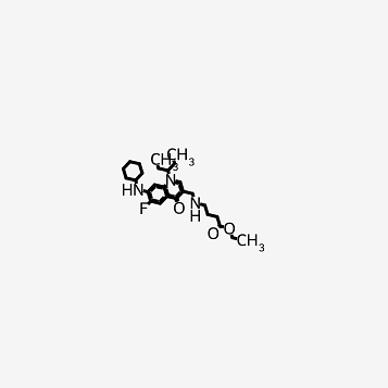 CCOC(=O)CCCNCc1cn(C(CC)CC)c2cc(NC3CCCCC3)c(F)cc2c1=O